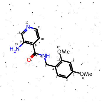 COc1ccc(CNC(=O)c2ccncc2N)c(OC)c1